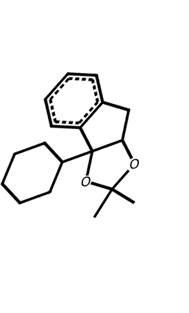 CC1(C)OC2Cc3ccccc3C2(C2CCCCC2)O1